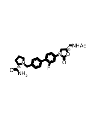 CC(=O)NC[C@H]1CN(c2ccc(-c3ccc(CN4CCC[C@H]4C(N)=O)cc3)c(F)c2)C(=O)O1